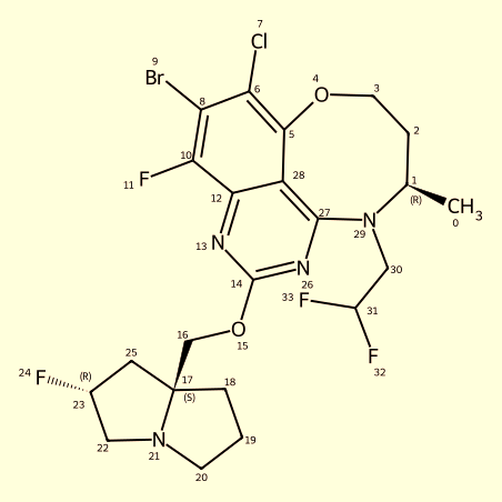 C[C@@H]1CCOc2c(Cl)c(Br)c(F)c3nc(OC[C@@]45CCCN4C[C@H](F)C5)nc(c23)N1CC(F)F